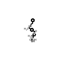 CC(=NOCCc1ccccc1)c1ccc(C(=O)N2CCC(N)(COP(=O)(O)O)C2)cc1